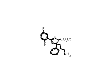 CCOC(=O)N1N=C(c2cc(F)ccc2F)SC1(CCCN)c1ccccc1